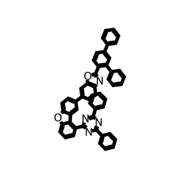 c1ccc(-c2ccc(-c3nc4ccc(-c5ccc6oc7cccc(-c8nc(-c9ccccc9)nc(-c9ccccc9)n8)c7c6c5)cc4o3)c(-c3ccccc3)c2)cc1